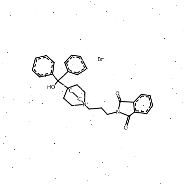 O=C1c2ccccc2C(=O)N1CCC[N+]12CCC(C(O)(c3ccccc3)c3ccccc3)(CC1)CC2.[Br-]